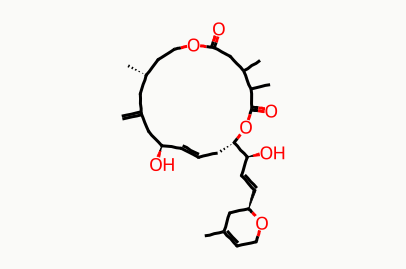 C=C1C[C@H](C)CCOC(=O)CC(C)C(C)C(=O)O[C@H]([C@@H](O)/C=C/[C@@H]2CC(C)=CCO2)C/C=C/[C@@H](O)C1